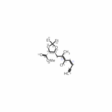 C#C/C=C\C(Cl)=C(/C)C[C@@H]1OC(CC)(CC)O[C@H]1C(=O)OC